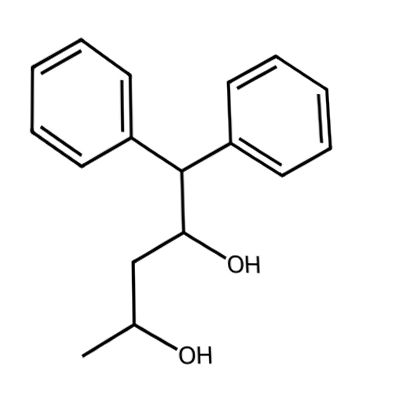 CC(O)CC(O)C(c1ccccc1)c1ccccc1